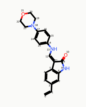 C=Cc1ccc2c(c1)NC(=O)C2=CNc1ccc(N2CCOCC2)cc1